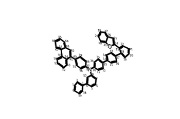 c1ccc(-c2cccc(N(c3ccc(-c4ccc(-c5ccccc5-c5cc6ccccc6o5)cc4)cc3)c3ccc(-c4cc5ccccc5c5ccccc45)cc3)c2)cc1